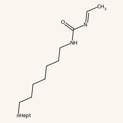 CC=NC(=O)NCCCCCCCCCCCCCC